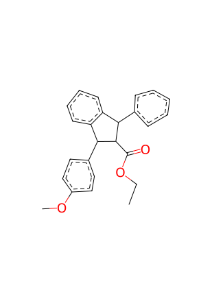 CCOC(=O)C1C(c2ccccc2)c2ccccc2C1c1ccc(OC)cc1